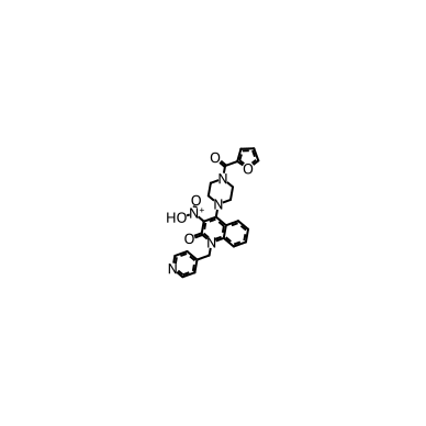 O=C(c1ccco1)N1CCN(c2c([N+](=O)O)c(=O)n(Cc3ccncc3)c3ccccc23)CC1